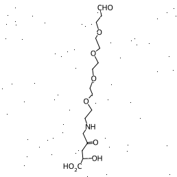 O=CCCOCCOCCOCCOCCNCC(=O)CC(O)C(=O)O